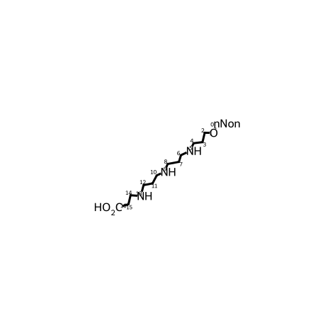 CCCCCCCCCOCCCNCCCNCCCNCCC(=O)O